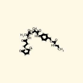 CCNC(=O)OCc1ccc(NC(=O)[C@H](C)NC(=O)[C@H](C)NC(=O)CCN2C(=O)C=CC2=O)cc1